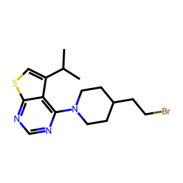 CC(C)c1csc2ncnc(N3CCC(CCBr)CC3)c12